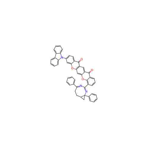 O=c1c2ccc(-n3c4ccccc4c4ccccc43)cc2oc2cc3oc4c(C5=N/C6(c7ccccc7)CC6CC/C(c6ccccc6)=N\5)cccc4c(=O)c3cc12